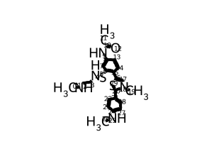 CNCCNSc1cc(NC(C)=O)ccc1C1=CN(C)C(c2ccc(NC)cc2)S1